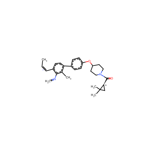 C=Nc1c(/C=C\C)ccc(-c2ccc(OC3CCN(C(=O)[C@H]4CC4(C)C)CC3)cc2)c1C